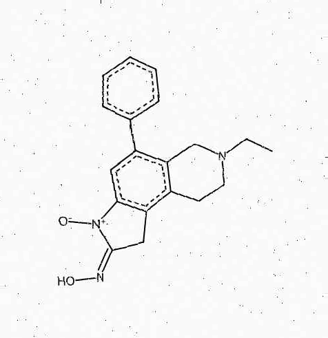 CCN1CCc2c(c(-c3ccccc3)cc3c2CC(=NO)[N+]3[O-])C1